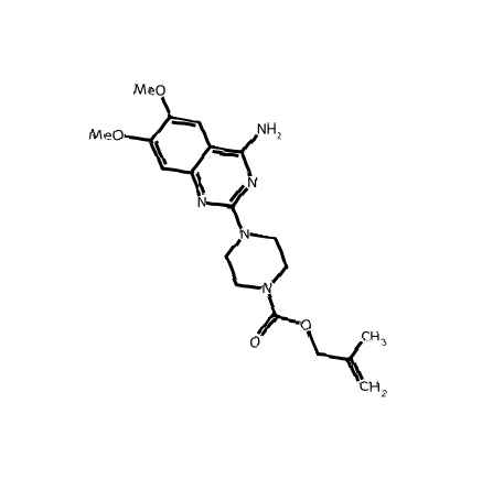 C=C(C)COC(=O)N1CCN(c2nc(N)c3cc(OC)c(OC)cc3n2)CC1